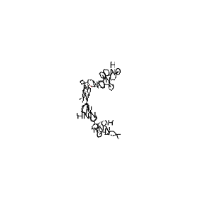 C[C@H]1CN(C2(C3CCN(c4ccc5c(c4)C(=O)N(C4CCC(=O)NC4=O)C5=O)CC3)CCC2)CCN1c1ccc(Nc2cc(-c3ccnc(N4CCn5c(cc6c5CC(C)(C)C6)C4=O)c3CO)ccn2)nc1